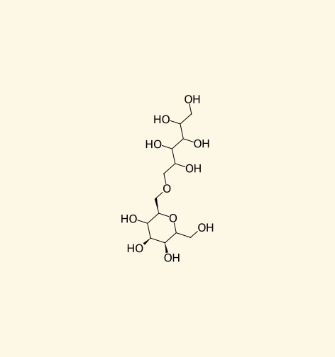 OCC(O)C(O)C(O)C(O)COC[C@H]1OC(CO)[C@@H](O)[C@@H](O)C1O